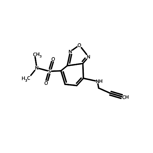 C#CCNc1ccc(S(=O)(=O)N(C)C)c2nonc12